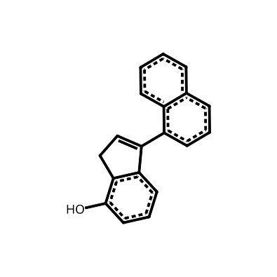 Oc1cccc2c1CC=C2c1cccc2ccccc12